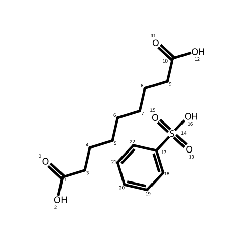 O=C(O)CCCCCCCC(=O)O.O=S(=O)(O)c1ccccc1